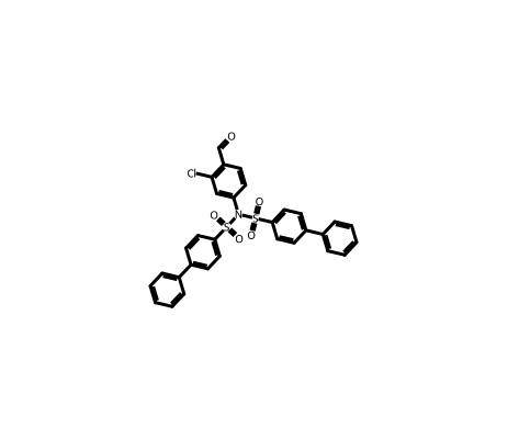 O=Cc1ccc(N(S(=O)(=O)c2ccc(-c3ccccc3)cc2)S(=O)(=O)c2ccc(-c3ccccc3)cc2)cc1Cl